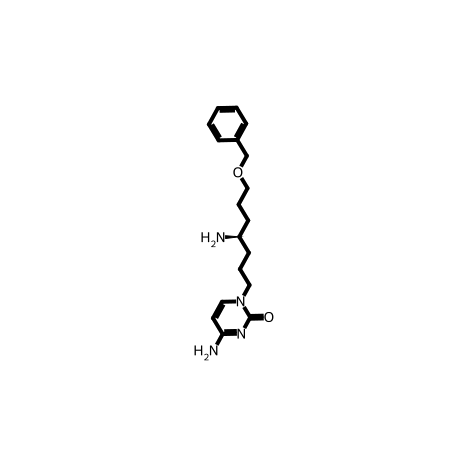 Nc1ccn(CCC[C@@H](N)CCCOCc2ccccc2)c(=O)n1